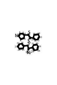 S=C(C(=S)c1ccccc1)c1ccccc1.S=C(C(=S)c1ccccc1)c1ccccc1.[Ni+2].[Ni+2]